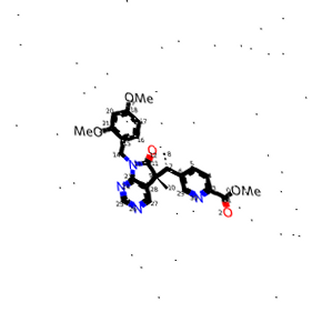 COC(=O)c1ccc([C@@H](C)[C@@]2(C)C(=O)N(Cc3ccc(OC)cc3OC)c3ncncc32)cn1